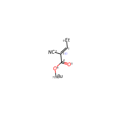 CC/C=C(\C#N)C(=O)OCCCC